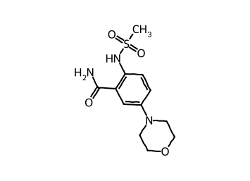 CS(=O)(=O)Nc1ccc(N2CCOCC2)cc1C(N)=O